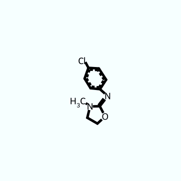 CN1CCOC1=Nc1ccc(Cl)cc1